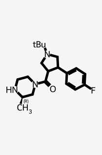 C[C@@H]1CN(C(=O)C2CN(C(C)(C)C)CC2c2ccc(F)cc2)CCN1